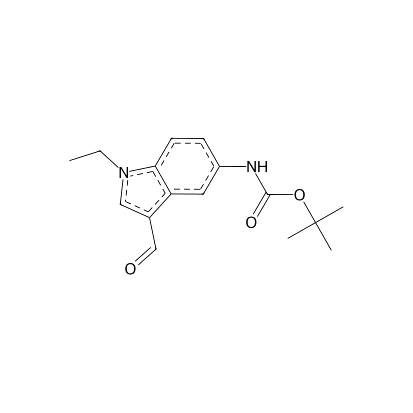 CCn1cc(C=O)c2cc(NC(=O)OC(C)(C)C)ccc21